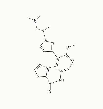 COc1ccc2[nH]c(=O)c3sccc3c2c1-c1ccn(C(C)CN(C)C)n1